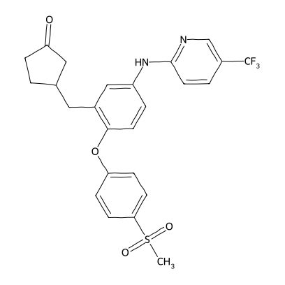 CS(=O)(=O)c1ccc(Oc2ccc(Nc3ccc(C(F)(F)F)cn3)cc2CC2CCC(=O)C2)cc1